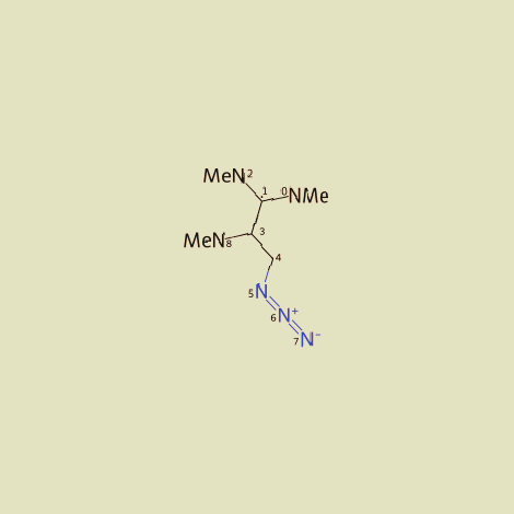 CN[C](NC)C(CN=[N+]=[N-])NC